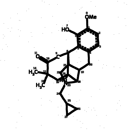 COc1ccc2c(c1O)C13CC(=O)C(C)(C)CC1(O)C1C(C2)C3CN1CC1CC1